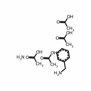 CC(=O)O.CC(=O)O.CC(=O)O.CC(=O)O.N.NCc1ccccc1